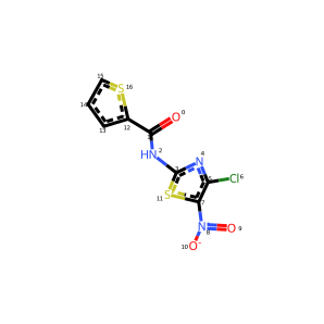 O=C(Nc1nc(Cl)c([N+](=O)[O-])s1)c1cccs1